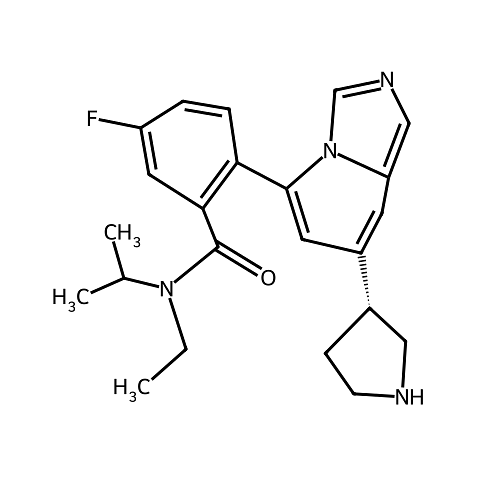 CCN(C(=O)c1cc(F)ccc1-c1cc([C@H]2CCNC2)cc2cncn12)C(C)C